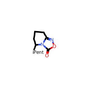 CCCC(C)C1CCCc2noc(=O)n21